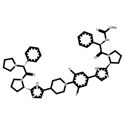 COC(=O)N[C@@H](C(=O)N1CCC[C@H]1c1ncc(-c2cc(F)c(N3CCC(c4cnc([C@@H]5CCCN5C(=O)[C@@H](c5ccccc5)N5CCCC5)[nH]4)CC3)c(F)c2)[nH]1)c1ccccc1